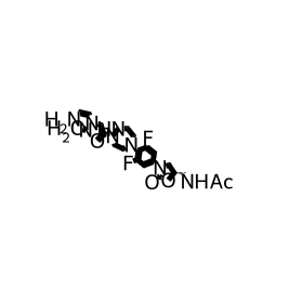 C=NN(/C=C\N)CC(=O)N1CCN(c2c(F)cc(N3C[C@H](CNC(C)=O)OC3=O)cc2F)CCN1